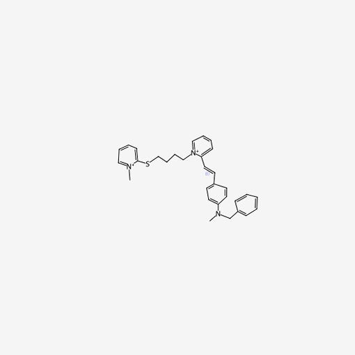 CN(Cc1ccccc1)c1ccc(/C=C/c2cccc[n+]2CCCCSc2cccc[n+]2C)cc1